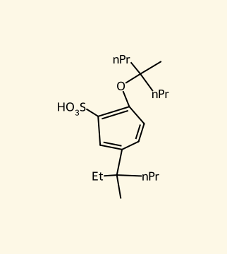 CCCC(C)(CCC)Oc1ccc(C(C)(CC)CCC)cc1S(=O)(=O)O